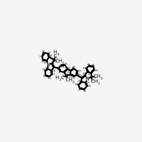 CC1(C)c2cc(-c3c4n(c5ccccc35)-c3ccccc3C4(C)C)ccc2-c2ccc(-c3c4n(c5ccccc35)C(C)(C)c3ccccc3-4)cc21